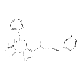 CN(Cc1c(C(=O)N/N=C/c2cccc(F)c2)nnn1-c1nonc1N)c1ccccc1